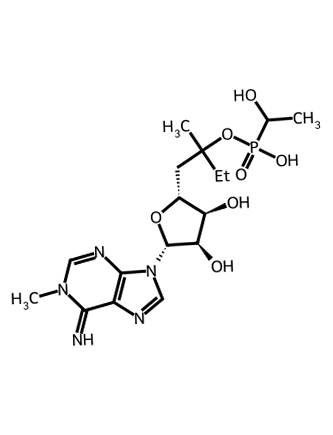 CCC(C)(C[C@H]1O[C@@H](n2cnc3c(=N)n(C)cnc32)[C@H](O)[C@@H]1O)OP(=O)(O)C(C)O